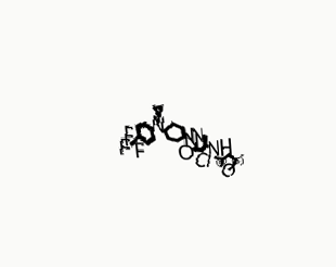 C[C@@H]1COC[C@@H](CNc2cnn([C@H]3CC[C@H](N(c4ccc(C(F)(F)F)cc4)C4CC4)CC3)c(=O)c2Cl)C1